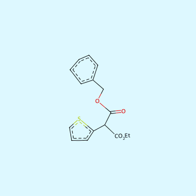 CCOC(=O)C(C(=O)OCc1ccccc1)c1cccs1